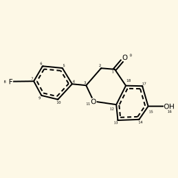 O=C1CC(c2ccc(F)cc2)Oc2ccc(O)cc21